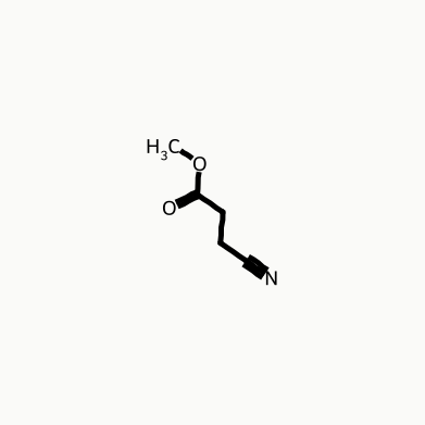 COC(=O)CCC#N